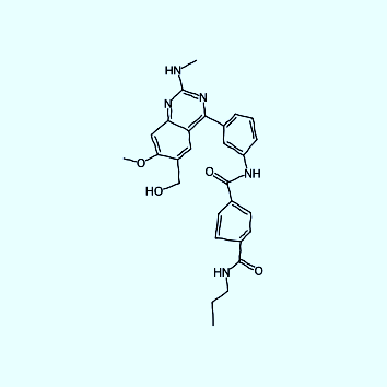 CCCNC(=O)c1ccc(C(=O)Nc2cccc(-c3nc(NC)nc4cc(OC)c(CO)cc34)c2)cc1